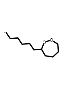 [CH2]CCCCCC1CCCCOO1